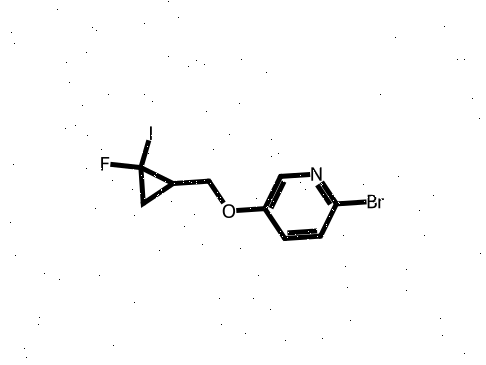 FC1(I)CC1COc1ccc(Br)nc1